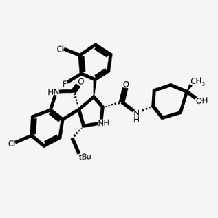 CC(C)(C)C[C@H]1N[C@@H](C(=O)N[C@H]2CC[C@@](C)(O)CC2)[C@H](c2cccc(Cl)c2F)[C@@]12C(=O)Nc1cc(Cl)ccc12